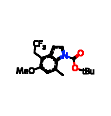 COc1cc(C)c2c(ccn2C(=O)OC(C)(C)C)c1CC(F)(F)F